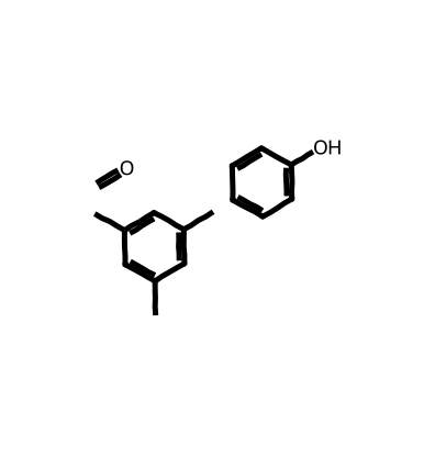 C=O.Cc1cc(C)cc(C)c1.Oc1ccccc1